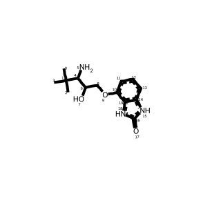 CC(C)(C)C(N)C(O)COc1cccc2[nH]c(=O)[nH]c12